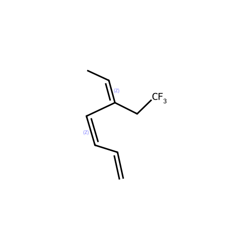 C=C/C=C\C(=C/C)CC(F)(F)F